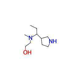 CCC(C1CCNC1)N(C)CCO